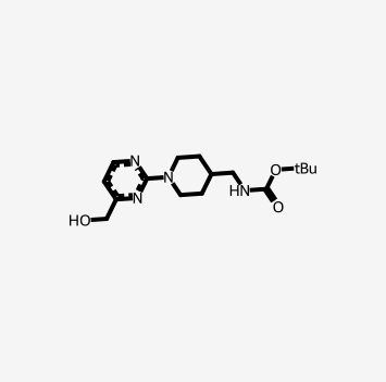 CC(C)(C)OC(=O)NCC1CCN(c2nccc(CO)n2)CC1